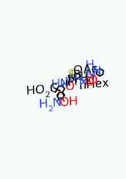 CCCCCCN(C(=O)[C@@H](NC(=O)[C@H]1CCCCN1C)[C@@H](C)CC)[C@H](C[C@@H](OC(C)=O)c1nc(C(=O)NC(Cc2ccc(N)c(O)c2)CC(C)(C)C(=O)O)cs1)C(C)C